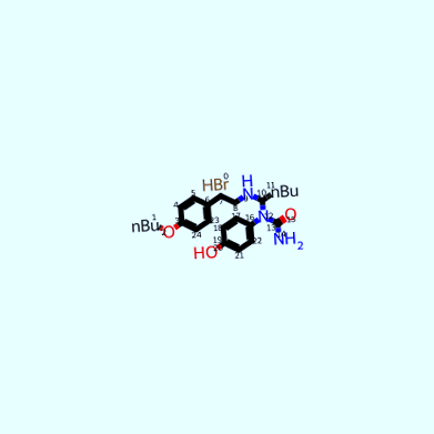 Br.CCCCOc1ccc(CCNC(CCCC)N(C(N)=O)c2ccc(O)cc2)cc1